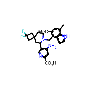 COc1cc(C)c2[nH]ccc2c1CN1CCC2(CC1c1cnc(C(=O)O)cc1N)CC(F)(F)C2